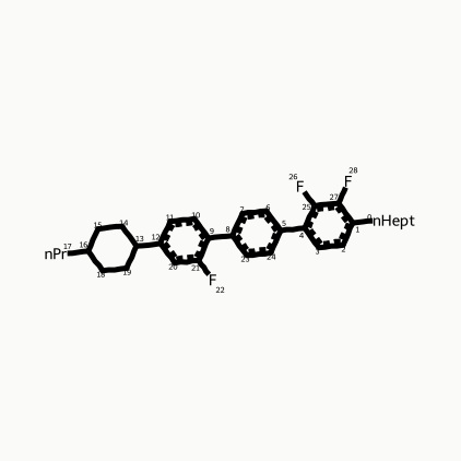 CCCCCCCc1ccc(-c2ccc(-c3ccc(C4CCC(CCC)CC4)cc3F)cc2)c(F)c1F